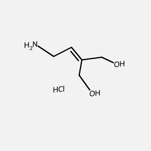 Cl.NCC=C(CO)CO